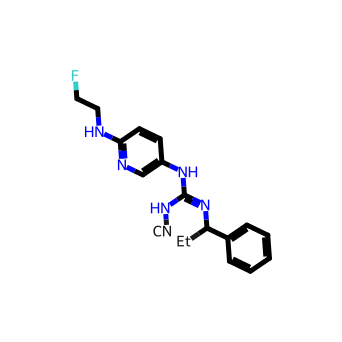 CCC(N=C(NC#N)Nc1ccc(NCCF)nc1)c1ccccc1